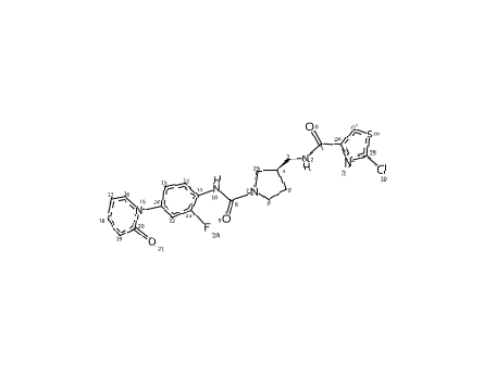 O=C(NC[C@H]1CCN(C(=O)Nc2ccc(-n3ccccc3=O)cc2F)C1)c1csc(Cl)n1